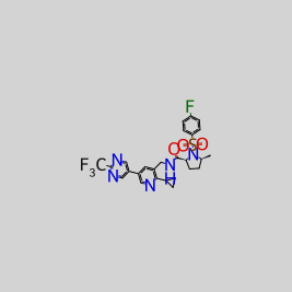 C[C@H]1CC[C@@H](C(=O)NCc2cc(-c3cnc(C(F)(F)F)nc3)cnc2C2CC2)N1S(=O)(=O)c1ccc(F)cc1